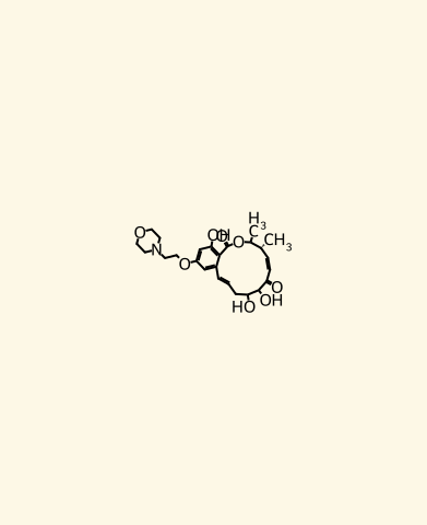 CC1OC(=O)c2c(O)cc(OCCN3CCOCC3)cc2/C=C/CC(O)C(O)C(=O)/C=C\[C@H]1C